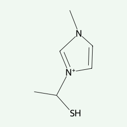 CC(S)[n+]1ccn(C)c1